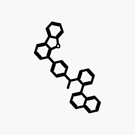 CC(c1ccc(-c2cccc3c2oc2ccccc23)cc1)c1ccccc1-c1cccc2ccccc12